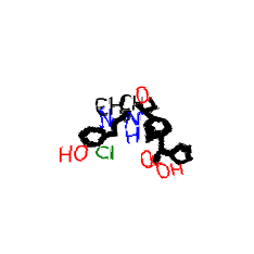 C=C(NC1(c2ccc(C(C(=O)O)C3CCCC3)cc2)CCOC1)c1cc2c(Cl)c(O)ccc2n1C